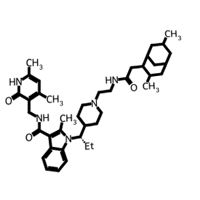 CC[C@@H](C1CCN(CCNC(=O)CC2C(C)CC3CC(C)CC2C3)CC1)n1c(C)c(C(=O)NCc2c(C)cc(C)[nH]c2=O)c2ccccc21